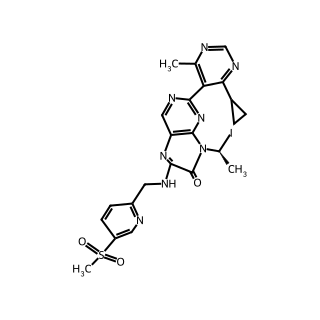 Cc1ncnc(C2CC2)c1-c1ncc2nc(NCc3ccc(S(C)(=O)=O)cn3)c(=O)n([C@H](C)I)c2n1